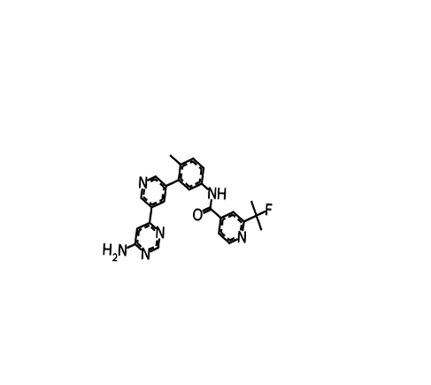 Cc1ccc(NC(=O)c2ccnc(C(C)(C)F)c2)cc1-c1cncc(-c2cc(N)ncn2)c1